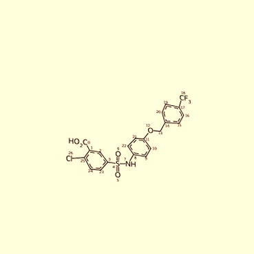 O=C(O)c1cc(S(=O)(=O)Nc2ccc(OCc3ccc(C(F)(F)F)cc3)cc2)ccc1Cl